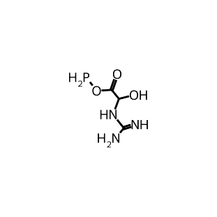 N=C(N)NC(O)C(=O)OP